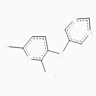 CCOC(=O)c1nc(Cl)ccc1Nc1cncnc1